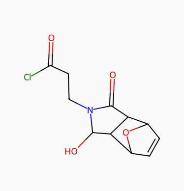 O=C(Cl)CCN1C(=O)C2C3C=CC(O3)C2C1O